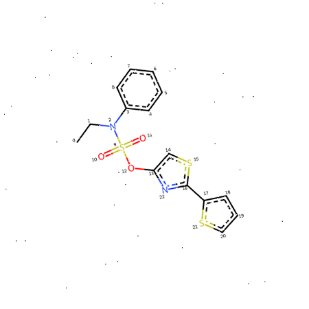 CCN(c1ccccc1)S(=O)(=O)Oc1csc(-c2cccs2)n1